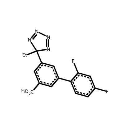 CCC1(c2cc(C(=O)O)cc(-c3ccc(F)cc3F)c2)N=NN=N1